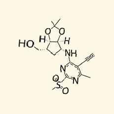 C#Cc1c(C)nc(S(C)(=O)=O)nc1N[C@@H]1C[C@H](CO)[C@H]2OC(C)(C)O[C@H]21